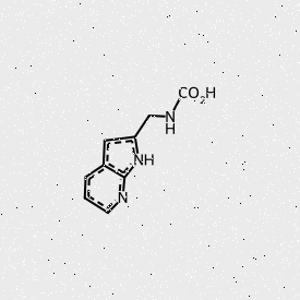 O=C(O)NCc1cc2cccnc2[nH]1